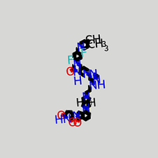 CC1(C)CCN(Cc2cc(F)c(N3CC(=O)NC4(CCN(c5cc(NCCCN6C[C@@H]7CN(c8cccc9c8CN(C8CCC(=O)NC8=O)C9=O)C[C@@H]7C6)ncn5)CC4)C3)cc2F)CC1